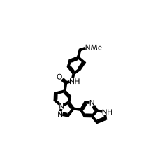 CNCc1ccc(NC(=O)c2ccn3ncc(-c4cnc5[nH]ccc5c4)c3c2)cc1